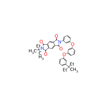 CCC(C)(CC)c1cccc(Oc2cccc(Oc3cccc(-n4c(=O)c5cc6c(=O)n(C(C)(C)CC)c(=O)c6cc5c4=O)c3)c2)c1